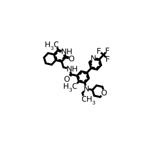 CCN(c1cc(-c2ccc(C(F)(F)F)nc2)cc(C(=O)NCc2c3c(c(C)[nH]c2=O)CCCC3)c1C)C1CCOCC1